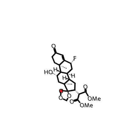 COC(=O)C(C(=O)OC)[C@H]1C[C@H]2[C@@H]3C[C@@H](F)C4=CC(=O)CC[C@]4(C)[C@H]3[C@@H](O)C[C@]2(C)[C@]12OCOC21COCO1